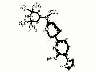 COc1nc(-c2ccc(N(C)C3CC(C)(C)NC(C)(C)C3)nn2)ccc1-n1cccn1